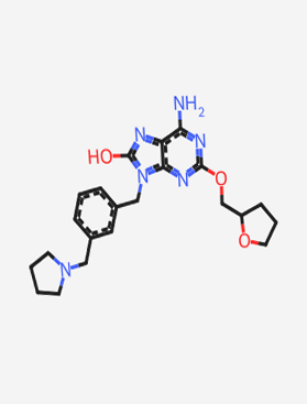 Nc1nc(OCC2CCCO2)nc2c1nc(O)n2Cc1cccc(CN2CCCC2)c1